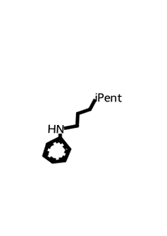 CCCC(C)CCCNc1ccccc1